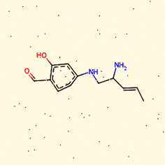 CC=CC(N)CNc1ccc(C=O)c(O)c1